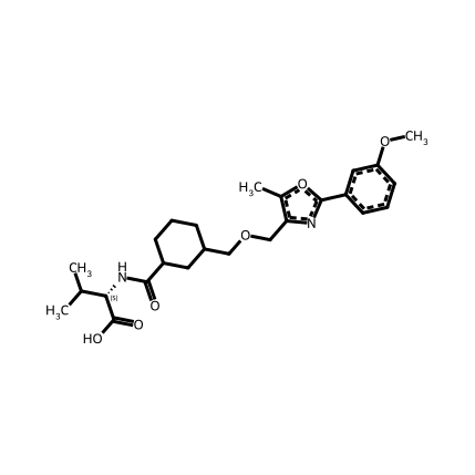 COc1cccc(-c2nc(COCC3CCCC(C(=O)N[C@H](C(=O)O)C(C)C)C3)c(C)o2)c1